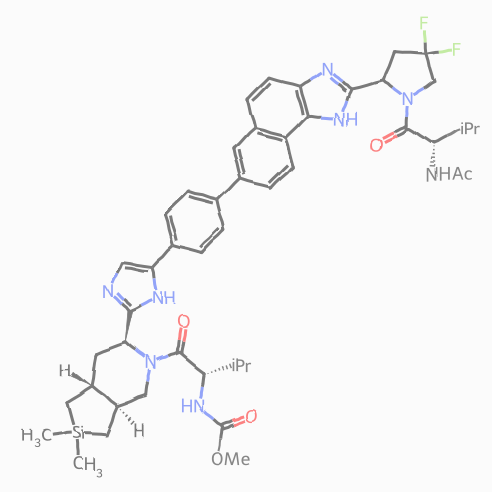 COC(=O)N[C@H](C(=O)N1C[C@H]2C[Si](C)(C)C[C@@H]2C[C@H]1c1ncc(-c2ccc(-c3ccc4c(ccc5nc(C6CC(F)(F)CN6C(=O)[C@@H](NC(C)=O)C(C)C)[nH]c54)c3)cc2)[nH]1)C(C)C